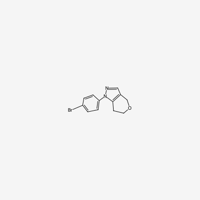 Brc1ccc(-n2ncc3c2CCOC3)cc1